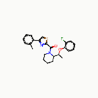 Cc1ccccc1-c1csc(C(=O)N2CCCCC2C(C)Oc2ccccc2F)n1